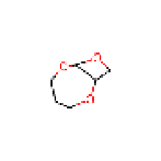 C1COC2COC2OC1